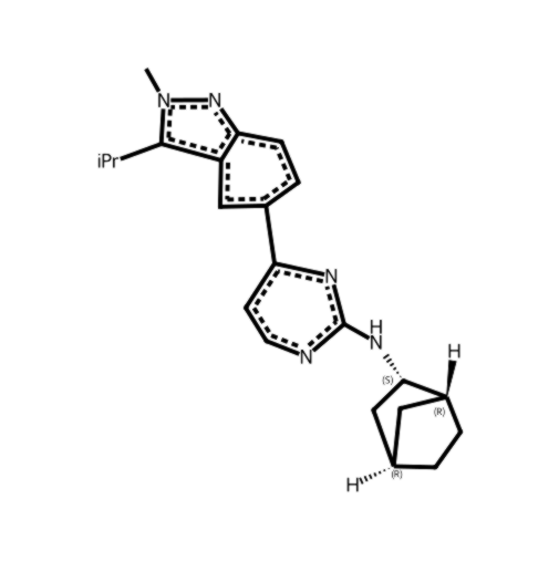 CC(C)c1c2cc(-c3ccnc(N[C@H]4C[C@@H]5CC[C@@H]4C5)n3)ccc2nn1C